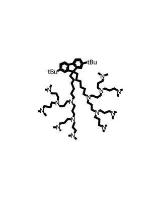 CN(C)CCCN(CCCN(C)C)CCCN(CCCCCCC1(CCCCCCN(CCCN(CCCN(C)C)CCCN(C)C)CCCN(CCCN(C)C)CCCN(C)C)c2cc(C(C)(C)C)ccc2-c2ccc(C(C)(C)C)cc21)CCCN(CCCN(C)C)CCCN(C)C